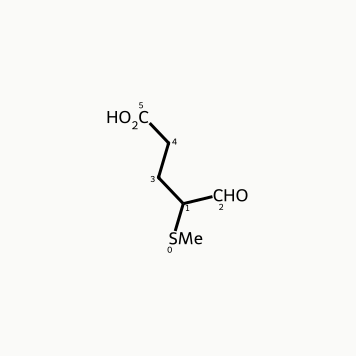 CSC(C=O)CCC(=O)O